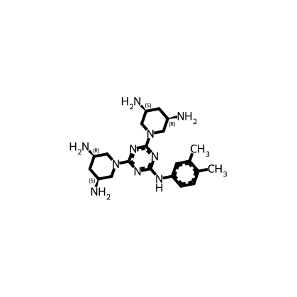 Cc1ccc(Nc2nc(N3C[C@H](N)C[C@H](N)C3)nc(N3C[C@H](N)C[C@H](N)C3)n2)cc1C